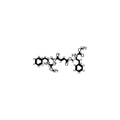 CC(C)OC(=O)N[C@@H](COC(=O)/C=C/C(=O)OC[C@@H](Cc1ccccc1)NC(=O)OC(C)C)Cc1ccccc1